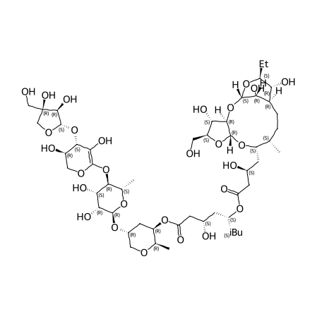 CC[C@@H]1O[C@H]2O[C@H]3[C@@H](O[C@@H](CO)[C@@H]3O)O[C@@H](C[C@H](O)CC(=O)O[C@@H](C[C@H](O)CC(=O)O[C@@H]3C[C@@H](O[C@@H]4O[C@@H](C)[C@H](OC5=C(O)[C@@H](O[C@@H]6OC[C@](O)(CO)[C@H]6O)[C@H](O)CO5)[C@@H](O)[C@H]4O)CO[C@@H]3C)[C@@H](C)CC)[C@@H](C)CC[C@H]([C@H]1O)[C@H]2O